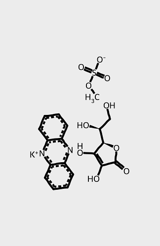 COS(=O)(=O)[O-].O=C1O[C@H]([C@@H](O)CO)C(O)=C1O.[K+].c1ccc2nc3ccccc3nc2c1